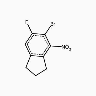 O=[N+]([O-])c1c(Br)c(F)cc2c1CCC2